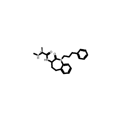 CN[C@@H](C)C(=O)NC1CCc2ccccc2N(CCCc2ccccc2)C1=O